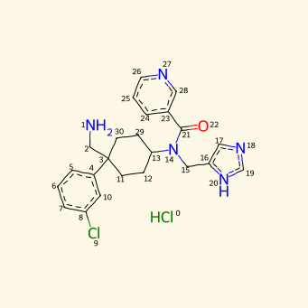 Cl.NCC1(c2cccc(Cl)c2)CCC(N(Cc2cnc[nH]2)C(=O)c2cccnc2)CC1